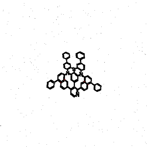 c1ccc(-c2ccc(N3c4ccc(-c5ccccc5)cc4B4c5cc(-c6ccccc6)ccc5N(c5ccc(-c6ccccc6)cc5)c5cc(-c6c(-c7ccccc7)ccnc6-c6ccccc6)cc3c54)cc2)cc1